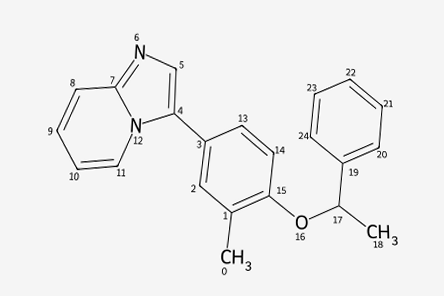 Cc1cc(-c2cnc3ccccn23)ccc1OC(C)c1ccccc1